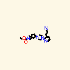 CCOC(=O)N1CC2(CC[C@@H](N3CCN(c4ncccc4CCC#N)CC3)C2)C1